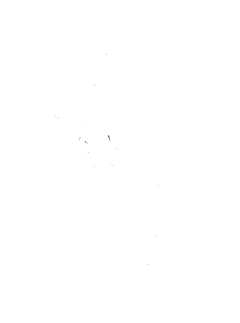 CON=C(C(=O)N[C@@H]1C(=O)N2C=C(C[n+]3ccc(-n4ccnc4)cc3)CS[C@@H]12)c1csc(N)n1